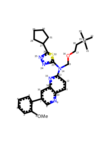 COc1ccccc1-c1cnc2ccc(N(COCC[Si](C)(C)C)c3nnc(C4CCCC4)s3)nc2c1